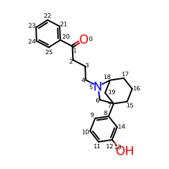 O=C(CCCN1CC2(c3cccc(O)c3)CCCC1C2)c1ccccc1